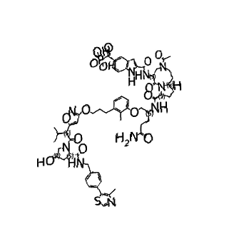 CC(=O)N1CC[C@H]2CC[C@@H](C(=O)N[C@@H](CCC(N)=O)COc3cccc(CCCOc4cc([C@@H](C(=O)N5C[C@H](O)C[C@H]5C(=O)NCc5ccc(-c6scnc6C)cc5)C(C)C)on4)c3C)N2C(=O)[C@@H](NC(=O)c2cc3cc(C(=O)P(=O)(O)O)ccc3[nH]2)C1